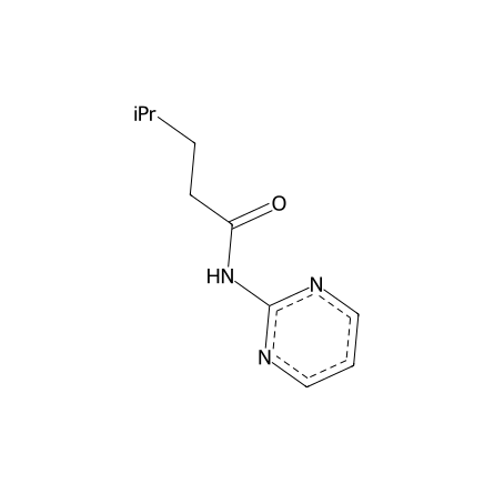 CC(C)CCC(=O)Nc1ncccn1